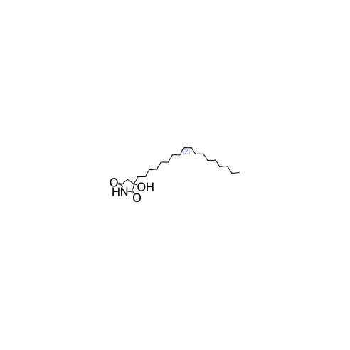 CCCCCCCC/C=C\CCCCCCCCC1(O)CC(=O)NC1=O